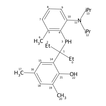 CCC(CC)(Pc1c(C)cccc1N(C(C)C)C(C)C)c1cc(C)cc(C)c1O